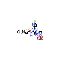 CC(C)(C)OC(=O)N1CCCC1n1ncc2c(NC(=O)c3ccc([N+](=O)[O-])s3)nc(-c3ccc(F)nc3)nc21